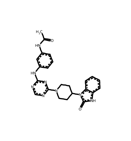 CC(=O)Nc1cccc(Nc2ncnc(N3CCC(n4c(=O)[nH]c5ccccc54)CC3)n2)c1